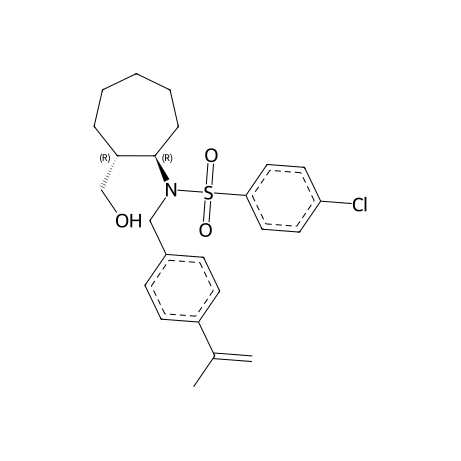 C=C(C)c1ccc(CN([C@@H]2CCCCC[C@H]2CO)S(=O)(=O)c2ccc(Cl)cc2)cc1